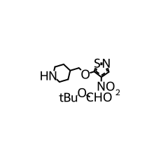 CC(C)(C)OC=O.O=[N+]([O-])c1cnsc1OCC1CCNCC1